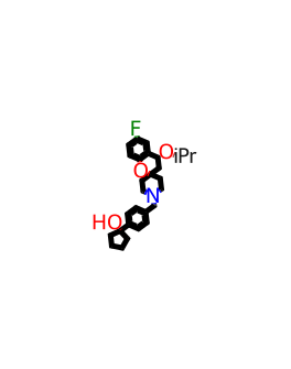 CC(C)O[C@@H]1CC2(CCN(Cc3ccc(C4(O)CCCC4)cc3)CC2)Oc2ccc(F)cc21